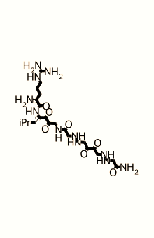 CC(C)C[C@H](NC(=O)[C@@H](N)CCCNC(N)N)C(=O)C(=O)CNC(=O)CNNCC(=O)C(=O)CNNCC(N)=O